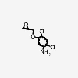 Nc1cc(OCC2CO2)c(Cl)cc1Cl